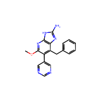 COc1nc2[nH]c(N)nc2c(Cc2ccccc2)c1-c1cncnc1